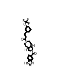 O=C(/C=C/c1cccc(OC(F)(F)F)c1)N1CC[C@@H]2CN(C(=O)c3ccc4[nH]nnc4c3)C[C@@H]2CC1